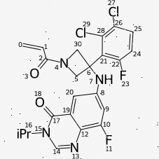 C=CC(=O)N1CC(Nc2cc(F)c3ncn(C(C)C)c(=O)c3c2)(c2c(F)ccc(Cl)c2Cl)C1